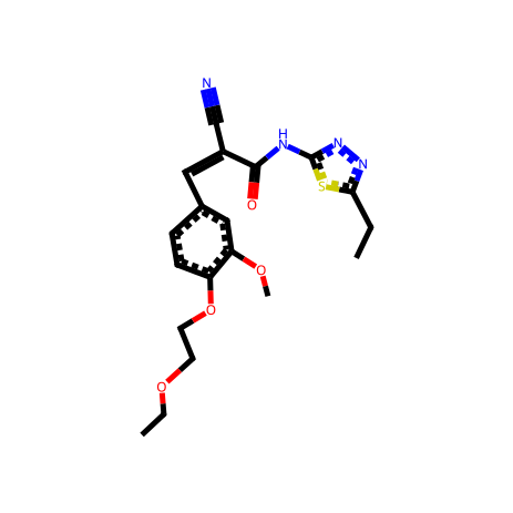 CCOCCOc1ccc(/C=C(/C#N)C(=O)Nc2nnc(CC)s2)cc1OC